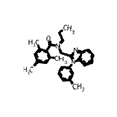 CCCN(Cc1nc2ccccc2n1-c1cccc(C)c1)C(=O)c1c(C)cc(C)cc1C